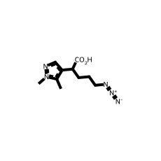 Cc1c(C(CCCN=[N+]=[N-])C(=O)O)cnn1C